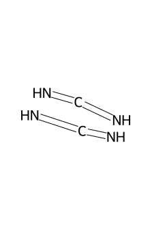 N=C=N.N=C=N